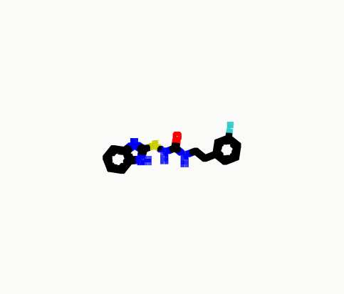 O=C(NCCc1cccc(F)c1)NSc1nc2ccccc2[nH]1